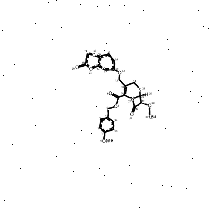 COc1ccc(COC(=O)C2=C(COc3ccc4ccc(=O)oc4c3)CS[C@@H]3[C@@H](OC(C)(C)C)C(=O)N23)cc1